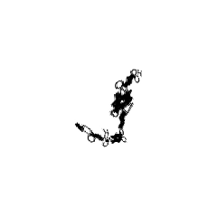 CCOC(=O)CCNC(=O)N1Cc2cc(OC)c(OCCCOc3cc4c(cc3OC)CN(C(=O)CCC(=O)O)C4)cc2C1